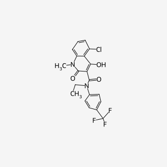 CCN(C(=O)c1c(O)c2c(Cl)cccc2n(C)c1=O)c1ccc(C(F)(F)F)cc1